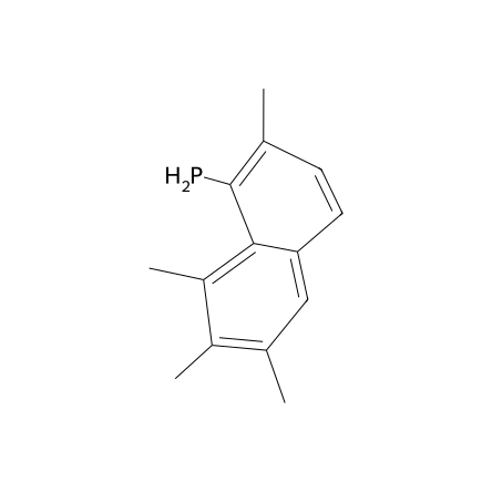 Cc1cc2ccc(C)c(P)c2c(C)c1C